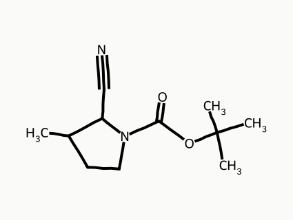 CC1CCN(C(=O)OC(C)(C)C)C1C#N